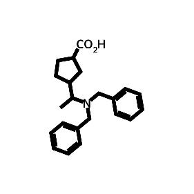 CC(C1CCC(C(=O)O)C1)N(Cc1ccccc1)Cc1ccccc1